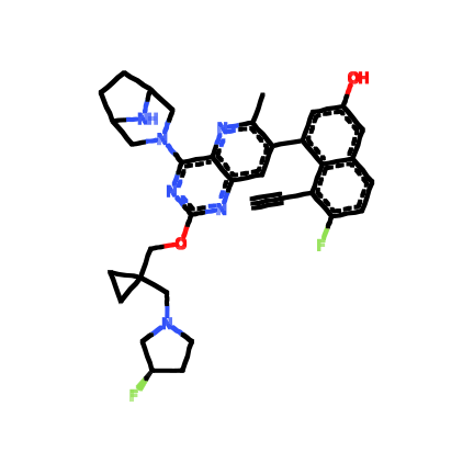 C#Cc1c(F)ccc2cc(O)cc(-c3cc4nc(OCC5(CN6CC[C@@H](F)C6)CC5)nc(N5CC6CCC(C5)N6)c4nc3C)c12